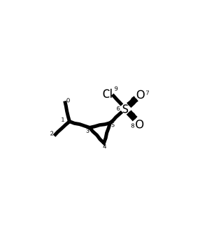 CC(C)C1CC1S(=O)(=O)Cl